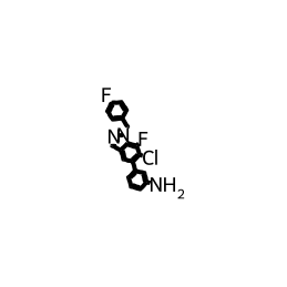 Nc1cccc(-c2cc3cnn(Cc4ccc(F)cc4)c3c(F)c2Cl)c1